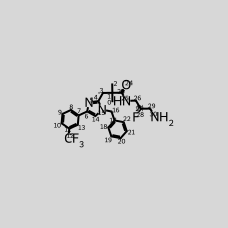 CC(C)([CH]c1nc(-c2cccc(C(F)(F)F)c2)cn1Cc1ccccc1)C(=O)NC[C@H](F)CN